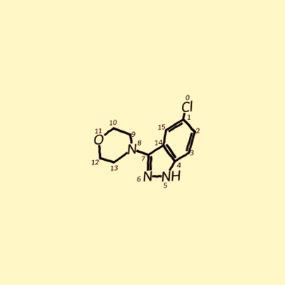 Clc1ccc2[nH]nc(N3CCOCC3)c2c1